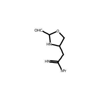 CCCC(=N)CC1COC(C=O)N1